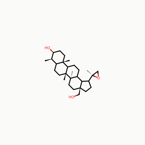 C[C@@H]1C2CC[C@]3(C)C(CCC4C5C([C@@]6(C)CO6)CC[C@]5(CO)CC[C@]43C)[C@@]2(C)CC[C@@H]1O